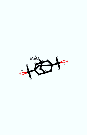 COC12CC3CC(C(C)(C)O)(C1)CC(C(C)(C)O)(C3)C2